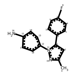 Cc1cc(-c2ccc(F)cc2)n(-c2ccc(N)cc2)n1